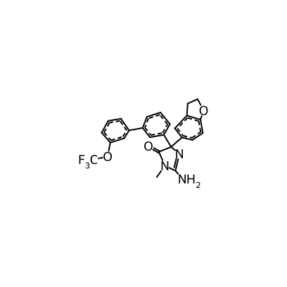 CN1C(=O)C(c2cccc(-c3cccc(OC(F)(F)F)c3)c2)(c2ccc3c(c2)CCO3)N=C1N